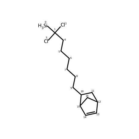 [SiH3]C(Cl)(Cl)CCCCCCC1CC2C=CC1C2